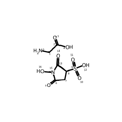 NCC(=O)O.O=C1CC(S(=O)(=O)O)C(=O)N1O